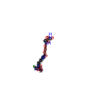 O=C1CCC(C2C(=O)c3cccc(NCCOCCOCCOCCC(=O)N4CCN(c5ccc(-c6ccc7c(c6)C(=O)N(C(C(=O)Nc6nccs6)c6cc(F)ccc6O)C7)cc5)CC4)c3C2=O)C(=O)N1